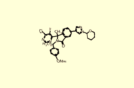 COc1ccc([C@@H](C)N2C(=O)c3cc(-c4cnn(C5CCCCO5)c4)ccc3C2(C)c2ncnc(Cl)c2F)cc1